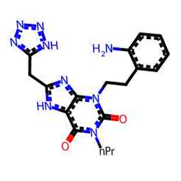 CCCn1c(=O)c2[nH]c(Cc3nnn[nH]3)nc2n(CCc2ccccc2N)c1=O